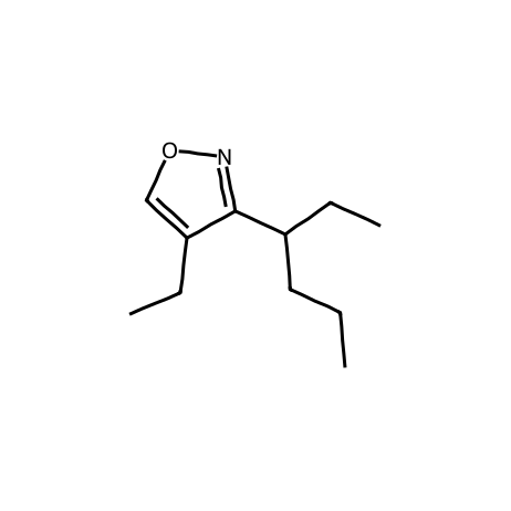 CCCC(CC)c1nocc1CC